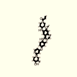 C=CC(=O)N1CCC(Nc2cc3c(Nc4ccc(Oc5ccnc(N6CC[C@H](O)[C@H](F)C6)c5)cc4F)ncnc3cc2OC)CC1